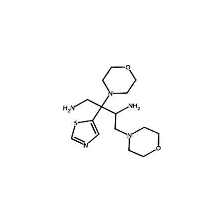 NCC(c1cncs1)(C(N)CN1CCOCC1)N1CCOCC1